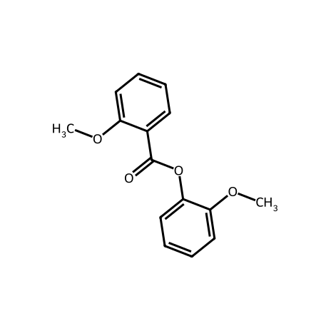 COc1ccccc1OC(=O)c1ccccc1OC